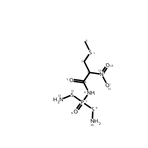 CSCC(C(=O)NP(=O)(SN)SN)[N+](=O)[O-]